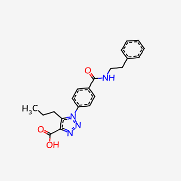 CCCc1c(C(=O)O)nnn1-c1ccc(C(=O)NCCc2ccccc2)cc1